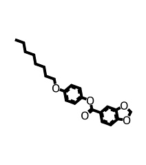 CCCCCCCCOc1ccc(OC(=O)c2ccc3c(c2)OCO3)cc1